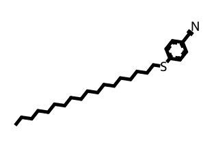 CCCCCCCCCCCCCCCCCCSc1ccc(C#N)cc1